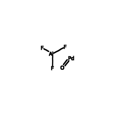 [F][Al]([F])[F].[O]=[Pd]